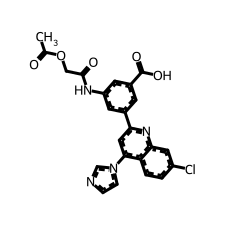 CC(=O)OCC(=O)Nc1cc(C(=O)O)cc(-c2cc(-n3ccnc3)c3ccc(Cl)cc3n2)c1